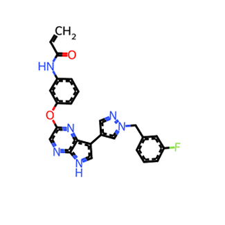 C=CC(=O)Nc1cccc(Oc2cnc3[nH]cc(-c4cnn(Cc5cccc(F)c5)c4)c3n2)c1